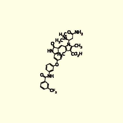 Cc1c(C(=O)O)c(C)n(C(CC(N)=O)N(C)C)c1C=C1C(=O)Nc2cc(Oc3cccc(NC(=O)c4cccc(C(F)(F)F)c4)c3)ccc21